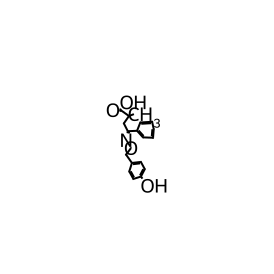 CC(CC(=NOCc1ccc(O)cc1)c1ccccc1)C(=O)O